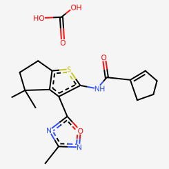 Cc1noc(-c2c(NC(=O)C3=CCCC3)sc3c2C(C)(C)CC3)n1.O=C(O)O